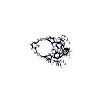 CC(C)(C)c1cc(N2C(=O)N(c3cc(C(C)(C)C)cc(C(C)(C)C)c3)c3cc4ccc3CNCc3cccc(n3)CNCc3ccc(cc32)COCc2cccc(n2)COC4)cc(C(C)(C)C)c1